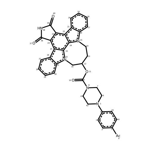 CC(=O)c1ccc(N2CCN(C(=O)OC3CCn4c5ccccc5c5c6c(c7c8ccccc8n(c7c54)C3)C(=O)NC6=O)CC2)cc1